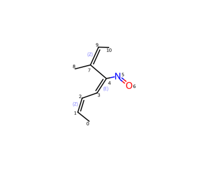 C\C=C/C=C(N=O)\C(C)=C/C